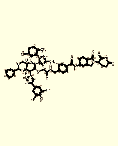 Cc1nc([C@@H]2O[C@@H]3COC(c4ccccc4)O[C@@H]3[C@H](n3cc(-c4cc(F)c(Cl)c(F)c4)nn3)[C@H]2OCC(=O)NCc2ccc(C(=O)Nc3ccc4c(c3)CN(C3CCC(=O)NC3=O)C4=O)cc2)n(-c2cc(Cl)ccc2C(F)(F)F)n1